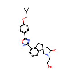 O=C1C[C@]2(CCc3c(-c4noc(-c5ccc(OCC6CC6)cc5)n4)cccc32)CN1CCO